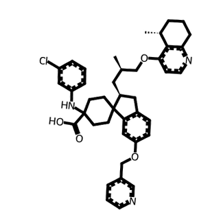 C[C@@H](COc1ccnc2c1[C@H](C)CCC2)C[C@H]1Cc2ccc(OCc3cccnc3)cc2C12CCC(Nc1cccc(Cl)c1)(C(=O)O)CC2